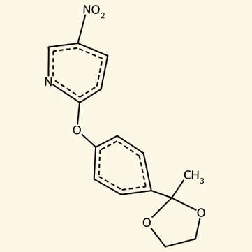 CC1(c2ccc(Oc3ccc([N+](=O)[O-])cn3)cc2)OCCO1